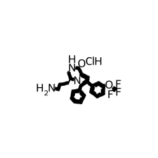 Cl.NCCC[C@H]1CNC(=O)c2cc(-c3cccc(OC(F)(F)F)c3)c(-c3ccccc3)n21